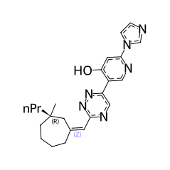 CCC[C@]1(C)CCCC/C(=C/c2ncc(-c3cnc(-n4ccnc4)cc3O)nn2)C1